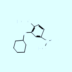 O=C(O)c1ccc(B(O)O)cc1OC1CCCCC1